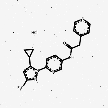 Cl.O=C(Cc1ccncc1)Nc1ccc(-n2nc(C(F)(F)F)cc2C2CC2)nc1